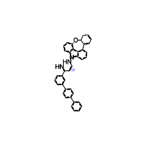 N=C(/C=C\Nn1c2cccc3c2c2c(cccc21)C1=CC=CCC1O3)c1cccc(-c2ccc(-c3ccccc3)cc2)c1